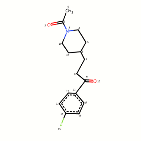 CC(=O)N1CCC(CCC(=O)c2ccc(F)cc2)CC1